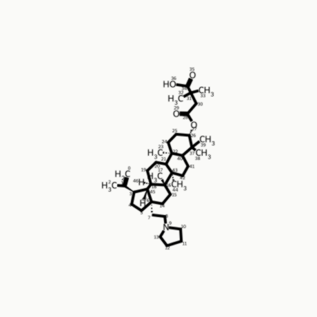 C=C(C)[C@@H]1CC[C@]2(CCN3CCCC3)CC[C@]3(C)[C@H](CCC4[C@@]5(C)CC[C@H](OC(=O)CC(C)(C)C(=O)O)C(C)(C)C5CC[C@]43C)[C@@H]12